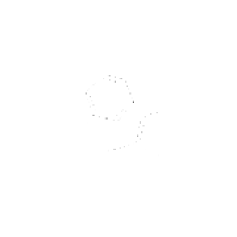 ClC=C(Cl)Cl.Oc1ccccc1